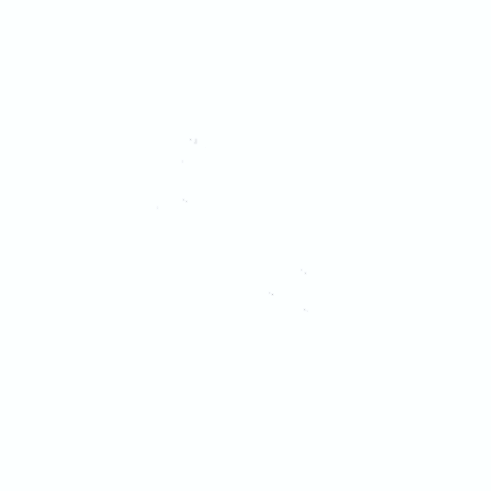 CN(CC(N)=O)Cc1cccc(-c2cnc(N3CCOCC3)nc2)c1